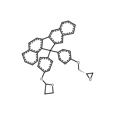 c1ccc2cc3c(cc2c1)-c1ccc2ccccc2c1C3(c1ccc(OC[C@@H]2CO2)cc1)c1ccc(OC2CCO2)cc1